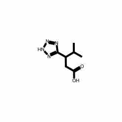 CC(C)C(CC(=O)O)c1nn[nH]n1